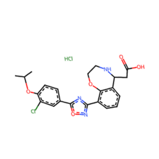 CC(C)Oc1ccc(-c2nc(-c3cccc4c3OCCNC4CC(=O)O)no2)cc1Cl.Cl